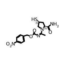 CC(=NC(=O)OCc1ccc([N+](=O)[O-])cc1)N1C[C@@H](S)C[C@H]1C(N)=O